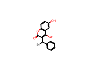 CCC(c1ccccc1)c1c(O)c2cc(O)ccc2oc1=O